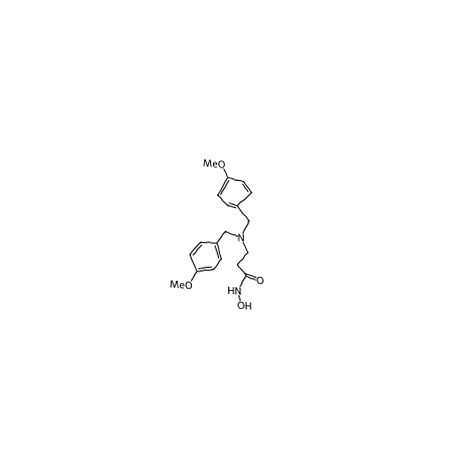 COc1ccc(CN(CCC(=O)NO)Cc2ccc(OC)cc2)cc1